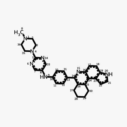 CN1CCN(c2ncc(Nc3ccc(-c4nc5ccc6[nH]ccc6c5c5c4CCCC5)cc3)cn2)CC1